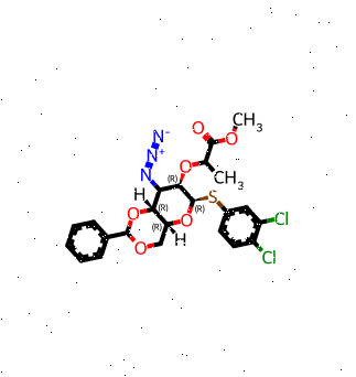 COC(=O)C(C)O[C@@H]1C(N=[N+]=[N-])[C@H]2OC(c3ccccc3)OC[C@H]2O[C@@H]1Sc1ccc(Cl)c(Cl)c1